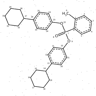 Cc1ccccc1P(=O)(Oc1ccc(C2CCCCC2)cc1)Oc1ccc(C2CCCCC2)cc1